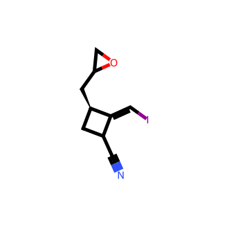 N#CC1C[C@@H](CC2CO2)C1=CI